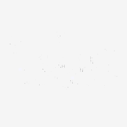 CCOC(=O)C1=C(/C=C\CO[Si](C)(C)C(C)(C)C)CS[C@@H]2N1C(=O)C2(NC(=O)/C(=N\OC)c1csc(NC(c2ccccc2)(c2ccccc2)c2ccccc2)n1)c1ccc(OC)cc1